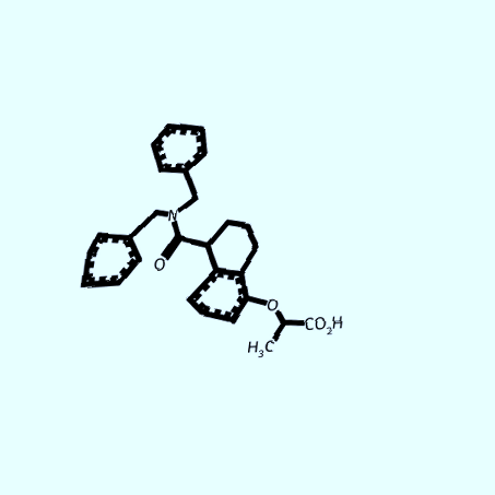 CC(Oc1cccc2c1CCCC2C(=O)N(Cc1ccccc1)Cc1ccccc1)C(=O)O